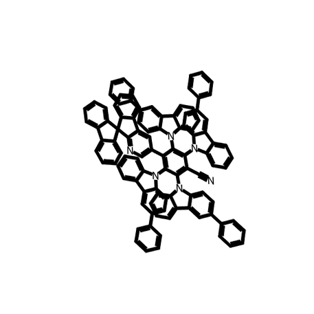 N#Cc1c(-n2c3ccccc3c3cc(-c4ccccc4)ccc32)c(-n2c3ccccc3c3cc(-c4ccccc4)ccc32)c(-c2cnc3c(c2)-c2ccccc2C32c3ccccc3-c3ccccc32)c(-n2c3ccccc3c3cc(-c4ccccc4)ccc32)c1-n1c2ccccc2c2cc(-c3ccccc3)ccc21